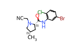 C[C@H]1C[C@@H](C(=O)Nc2cc(Br)ccc2Cl)N(CC#N)C1